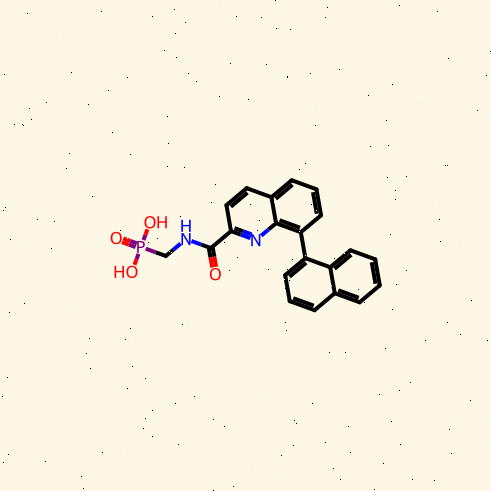 O=C(NCP(=O)(O)O)c1ccc2cccc(-c3cccc4ccccc34)c2n1